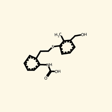 Cc1c(CO)cccc1SCCc1ccccc1NC(=O)O